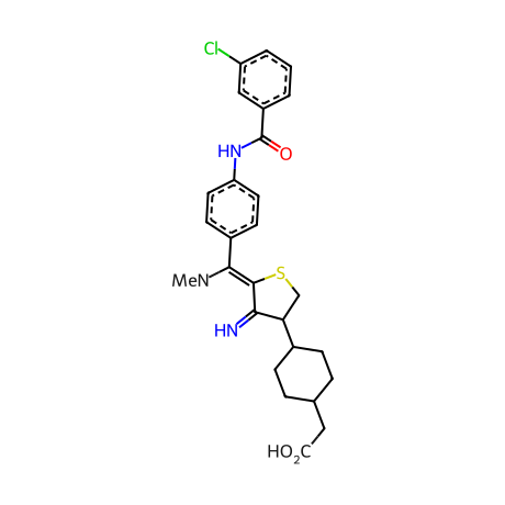 CN/C(=C1/SCC(C2CCC(CC(=O)O)CC2)C1=N)c1ccc(NC(=O)c2cccc(Cl)c2)cc1